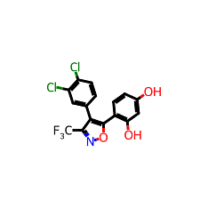 Oc1ccc(-c2onc(C(F)(F)F)c2-c2ccc(Cl)c(Cl)c2)c(O)c1